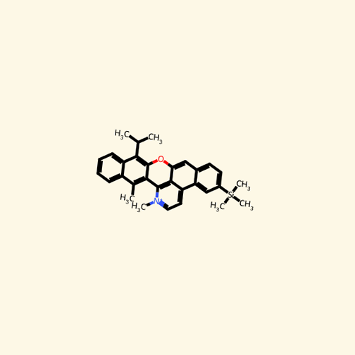 Cc1c2c(c(C(C)C)c3ccccc13)Oc1cc3ccc([Si](C)(C)C)cc3c3cc[n+](C)c-2c13